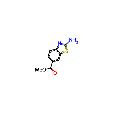 COC(=O)c1ccc2nc(N)sc2c1